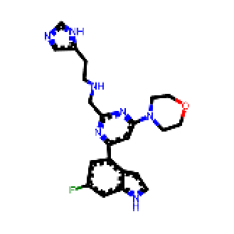 Fc1cc(-c2cc(N3CCOCC3)nc(CNCCc3cnc[nH]3)n2)c2cc[nH]c2c1